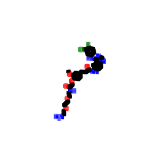 COc1cc(CCC(=O)Nc2ccc3ncnc(Nc4ccc(F)c(Cl)c4)c3c2)ccc1OCC(=O)NCCOCCOCCN